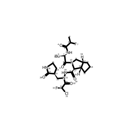 CC[C@H](C)[C@H](NC(=O)C(C)F)C(=O)N1C[C@@H]2CCC[C@@H]2[C@H]1C(=O)NN(C[C@@H]1CCNC1=O)C(=O)[C@H](F)Cl